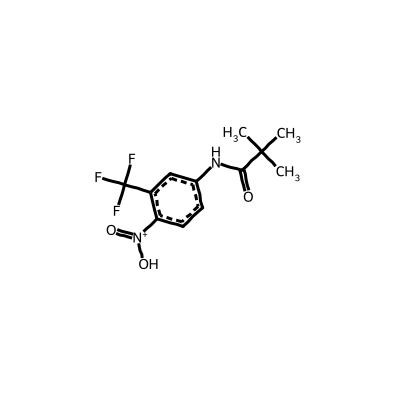 CC(C)(C)C(=O)Nc1ccc([N+](=O)O)c(C(F)(F)F)c1